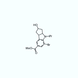 COC(=O)c1cc(Br)c2c(c1)C1CC(O)CC1N2C(C)C